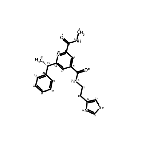 CNC(=O)c1cc(C(=O)NCCc2cscn2)cc([C@@H](C)c2ccccc2)n1